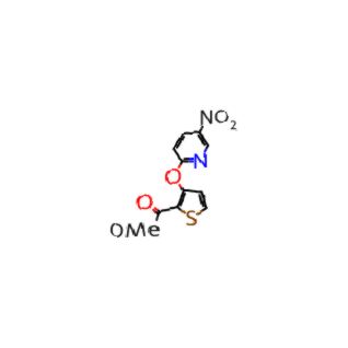 COC(=O)c1sccc1Oc1ccc([N+](=O)[O-])cn1